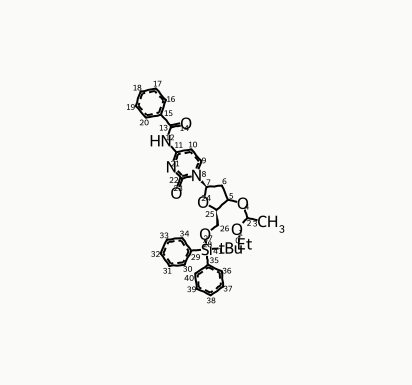 CCOC(C)OC1C[C@H](n2ccc(NC(=O)c3ccccc3)nc2=O)O[C@@H]1CO[Si](c1ccccc1)(c1ccccc1)C(C)(C)C